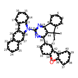 CC1(C)c2ccccc2-c2nc(-n3c4ccccc4c4cc5ccccc5cc43)nc(-c3ccc4oc5ccccc5c4c3)c21